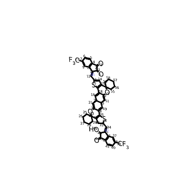 O=C1C(=O)c2ccc(C(F)(F)F)cc2/C1=C/c1cc2c(s1)C1=CC3C=C4OC5(CCCCC5)C5=C(SC(/C=C6/c7cc(C(F)(F)F)ccc7C(=O)C6O)C5)C4=CC3C=C1OC21CCCCC1